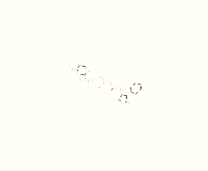 Cc1onc(-c2ccccc2)c1NC(=O)N[C@H]1CC[C@@H](Nc2nccc(N(C)C)n2)CC1